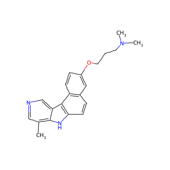 Cc1cncc2c1[nH]c1ccc3cc(OCCCN(C)C)ccc3c12